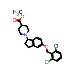 COC(=O)C1CCN(C2CCc3cc(OCc4c(Cl)cccc4Cl)ccc32)CC1